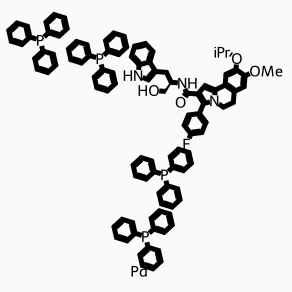 COc1cc2c(cc1OC(C)C)-c1cc(C(=O)N[C@@H](CO)Cc3c[nH]c4ccccc34)c(-c3ccc(F)cc3)n1CC2.[Pd].c1ccc(P(c2ccccc2)c2ccccc2)cc1.c1ccc(P(c2ccccc2)c2ccccc2)cc1.c1ccc(P(c2ccccc2)c2ccccc2)cc1.c1ccc(P(c2ccccc2)c2ccccc2)cc1